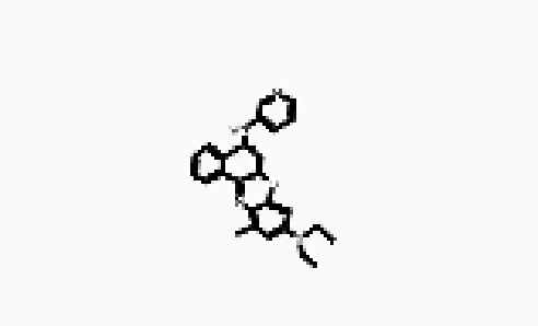 CCN(CC)c1cc(C)c2c(c1)OC1=CC(Nc3cccnc3)c3ccccc3C1=N2